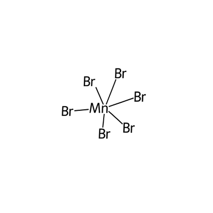 [Br][Mn]([Br])([Br])([Br])([Br])[Br]